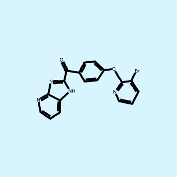 O=C(c1ccc(Oc2ncccc2Br)cc1)c1nc2ncccc2[nH]1